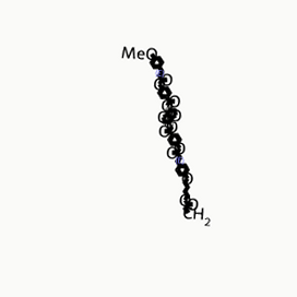 C=CC(=O)OCCCCOc1ccc(/C=C/C(=O)Oc2ccc(C(=O)O[C@H]3COC4C3OC[C@H]4OC(=O)c3ccc(OC(=O)/C=C/c4ccc(OC)cc4)cc3)cc2)cc1